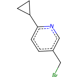 BrCc1ccc(C2CC2)nc1